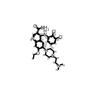 CCOc1cc2ncc(C(N)=O)c(Nc3cccc(Cl)c3Cl)c2cc1N1CCN(CCN(C)C)CC1